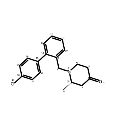 C[C@H]1CC(=O)CCN1Cc1ccccc1-c1ccc(Cl)cc1